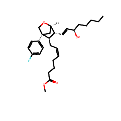 CCCCC[C@@H](O)/C=C/[C@@H]1[C@@H](C/C=C\CCCC(=O)OC)[C@@]2(c3ccc(F)cc3)CO[C@@H]1C2